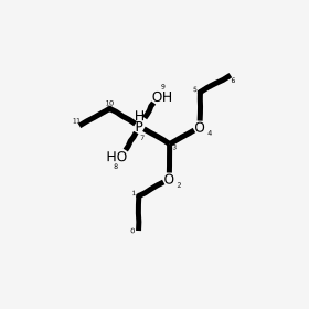 CCOC(OCC)[PH](O)(O)CC